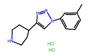 Cc1cccc(-n2cc(C3CCNCC3)nn2)c1.Cl.Cl